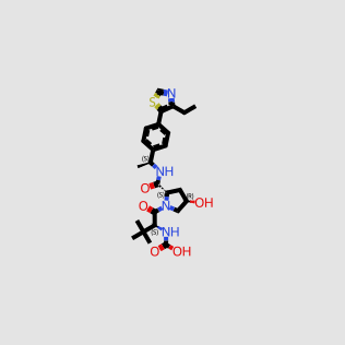 CCc1ncsc1-c1ccc([C@H](C)NC(=O)[C@@H]2C[C@@H](O)CN2C(=O)[C@@H](NC(=O)O)C(C)(C)C)cc1